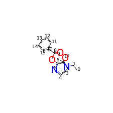 CCn1ccnc(OC(=O)c2ccccc2)c1=O